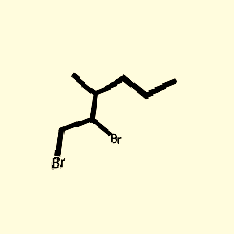 CCCC(C)C(Br)CBr